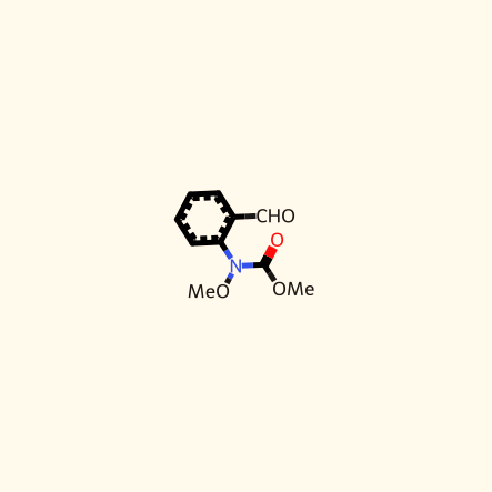 COC(=O)N(OC)c1ccccc1C=O